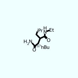 CCCC[C@H](C(N)=O)C(CC(C)C)C(=O)NCC